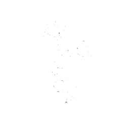 CC(C)(CC(O)(CC(=O)Nc1ccc2c(c1)COC2=O)CC(C)(C)c1cc(F)ccc1O)c1ccccc1